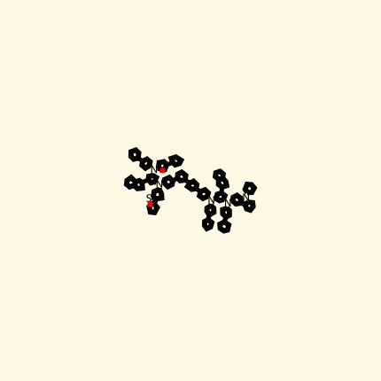 c1ccc(-c2ccc(N(c3ccc(-c4ccccc4)cc3)c3cc(-c4ccc5ccccc5c4)cc(N(c4ccc(-c5cccc(-c6ccc(-c7ccc(N(c8ccc(-c9ccccc9)cc8)c8cc(-c9ccc%10ccccc%10c9)cc(N(c9ccc(-c%10ccccc%10)cc9)c9ccc%10c(c9)c9ccccc9n%10-c9ccccc9)c8)cc7)cc6)c5)cc4)c4ccc5c(c4)sc4ccccc45)c3)cc2)cc1